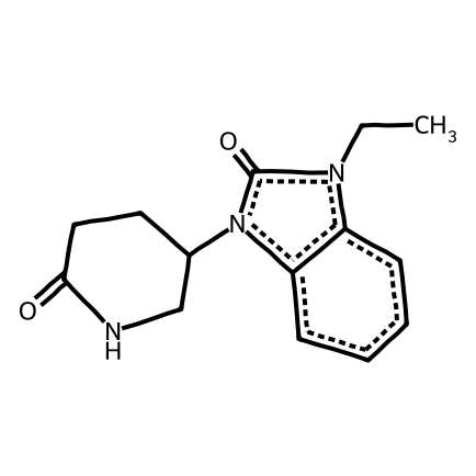 CCn1c(=O)n(C2CCC(=O)NC2)c2ccccc21